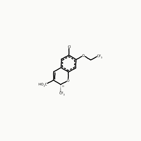 O=C(O)C1=Cc2cc(Cl)c(OCC(F)(F)F)cc2O[C@@H]1C(F)(F)F